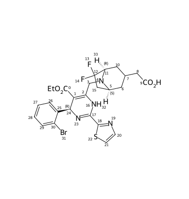 CCOC(=O)C1=C(CN2[C@H]3CC(CC(=O)O)C[C@@H]2C(F)(F)C3)NC(c2nccs2)=N[C@H]1c1ccccc1Br